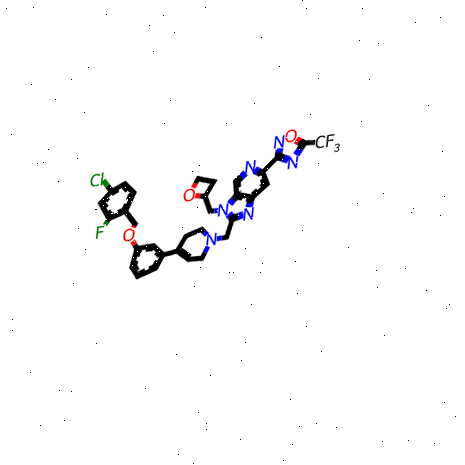 Fc1cc(Cl)ccc1COc1cccc(C2=CCN(Cc3nc4cc(-c5noc(C(F)(F)F)n5)ncc4n3CC3CCO3)CC2)c1